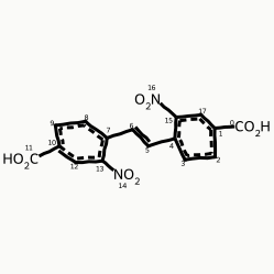 O=C(O)c1ccc(C=Cc2ccc(C(=O)O)cc2[N+](=O)[O-])c([N+](=O)[O-])c1